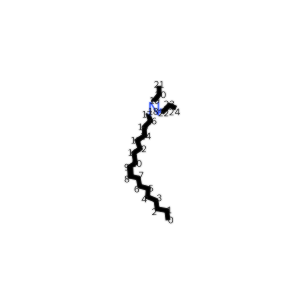 CCCCCCCC/C=C\CCCCCCCCN(CCC)CCC